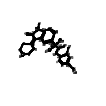 CN1C(=O)C(=C2CCOCC2)c2cc(S(=O)(=O)N(C)Cc3ccc(F)cc3F)ccc21